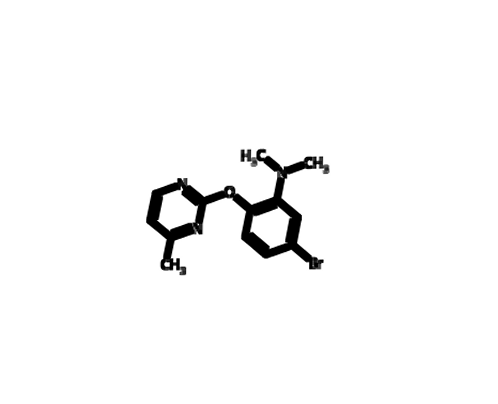 Cc1ccnc(Oc2ccc(Br)cc2N(C)C)n1